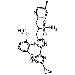 COc1cccc(OC)c1-n1c(CC(Cc2ncc(F)cn2)S(N)(=O)=O)nnc1-c1nc(C2CC2)cs1